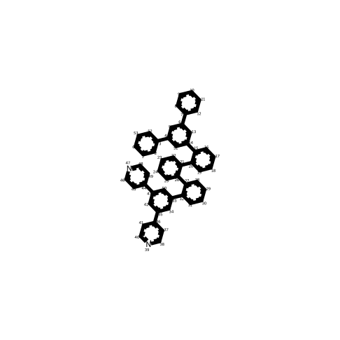 c1ccc(-c2cc(-c3ccccc3)cc(-c3ccccc3-c3ccccc3-c3ccccc3-c3cc(-c4ccncc4)cc(-c4ccncc4)c3)c2)cc1